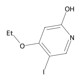 CCOc1cc(O)ncc1I